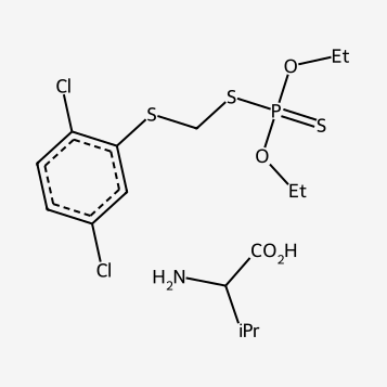 CC(C)C(N)C(=O)O.CCOP(=S)(OCC)SCSc1cc(Cl)ccc1Cl